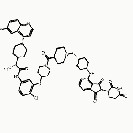 C[C@@H](C(=O)Nc1ccc(Cl)c(OC2CCN(C(=O)C3CCN(C[C@H]4CC[C@H](Nc5cccc6c5C(=O)N(C5CCC(=O)NC5=O)C6=O)CC4)CC3)CC2)c1)[C@H]1CC[C@@H](c2ccnc3ccc(F)cc32)CC1